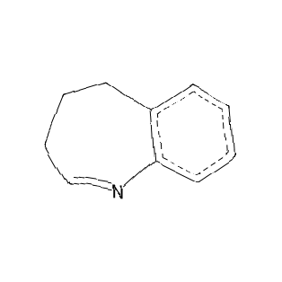 C1=Nc2ccccc2CCC1